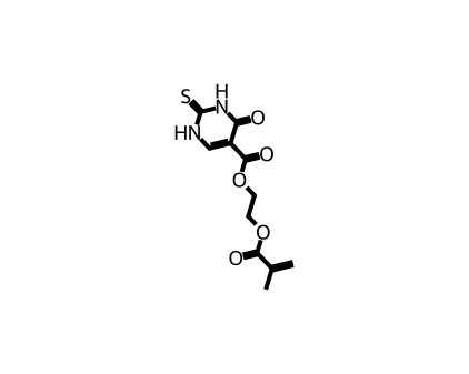 C=C(C)C(=O)OCCOC(=O)c1c[nH]c(=S)[nH]c1=O